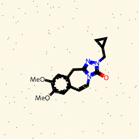 COc1cc2c(cc1OC)Cc1nn(CC3CC3)c(=O)n1C=C2